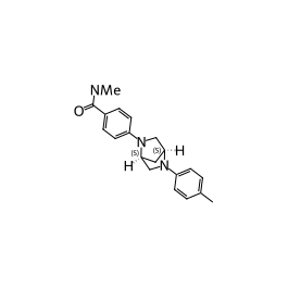 CNC(=O)c1ccc(N2C[C@@H]3C[C@H]2CN3c2ccc(C)cc2)cc1